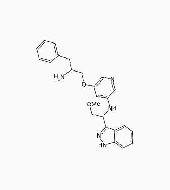 COCC(Nc1cncc(OCC(N)Cc2ccccc2)c1)c1n[nH]c2ccccc12